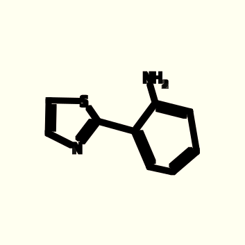 Nc1ccccc1-c1nccs1